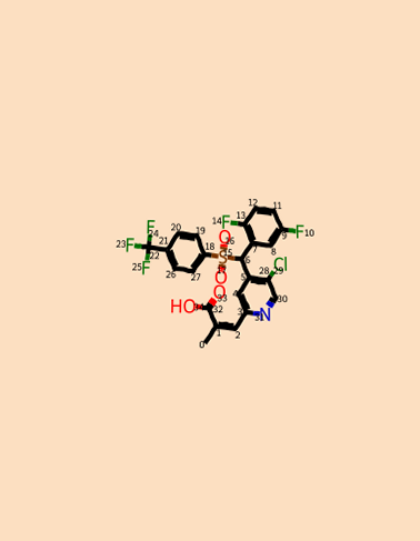 CC(=Cc1cc(C(c2cc(F)ccc2F)S(=O)(=O)c2ccc(C(F)(F)F)cc2)c(Cl)cn1)C(=O)O